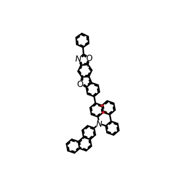 c1ccc(-c2nc3cc4oc5cc(-c6ccc(N(c7ccc8c(ccc9ccccc98)c7)c7ccccc7-c7ccccc7)cc6)ccc5c4cc3o2)cc1